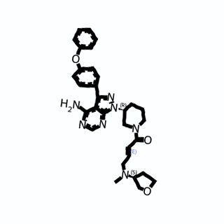 CN(C/C=C/C(=O)N1CCC[C@@H](n2nc(-c3ccc(Oc4ccccc4)cc3)c3c(N)ncnc32)C1)[C@H]1CCOC1